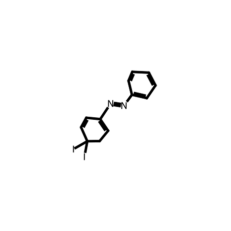 IC1(I)C=CC(N=Nc2ccccc2)=CC1